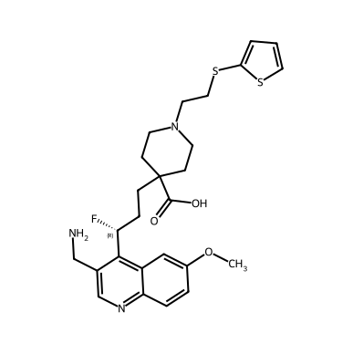 COc1ccc2ncc(CN)c([C@H](F)CCC3(C(=O)O)CCN(CCSc4cccs4)CC3)c2c1